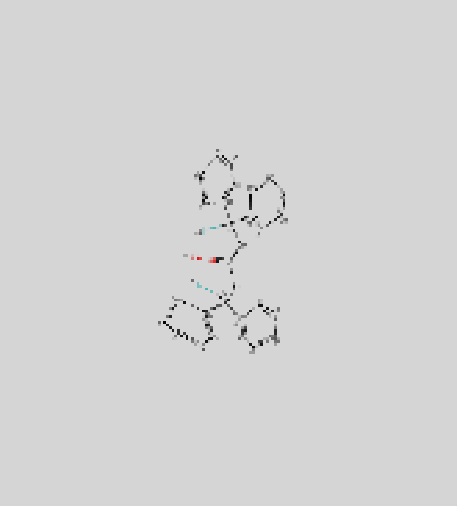 O=C(CC(F)(c1ccccc1)c1ccccc1)CC(F)(c1ccccc1)c1ccccc1